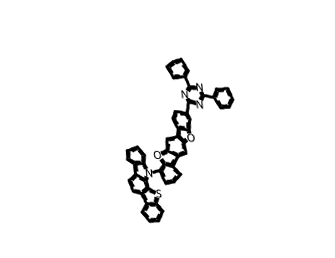 c1ccc(-c2nc(-c3ccccc3)nc(-c3ccc4c(c3)oc3cc5c(cc34)oc3c(-n4c6ccccc6c6ccc7c8ccccc8sc7c64)cccc35)n2)cc1